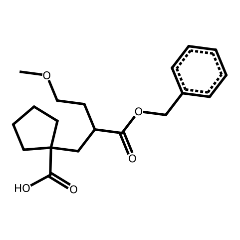 COCCC(CC1(C(=O)O)CCCC1)C(=O)OCc1ccccc1